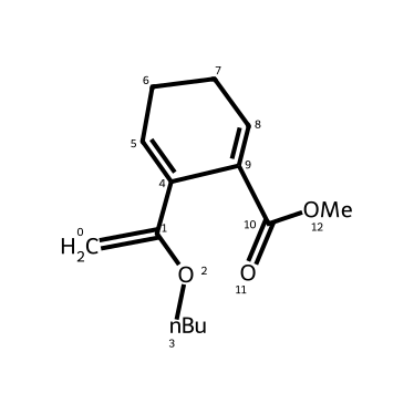 C=C(OCCCC)C1=CCCC=C1C(=O)OC